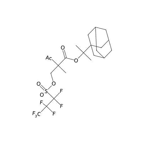 CC(=O)C(C)(COS(=O)(=O)C(F)(F)C(F)(F)C(F)(F)F)C(=O)OC(C)(C)C12CC3CC(CC(C3)C1)C2